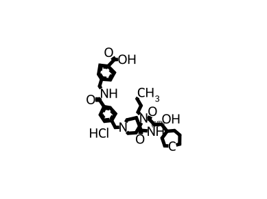 CCCCN1C(=O)[C@@H]([C@H](O)C2CCCCCC2)NC(=O)C12CCN(Cc1ccc(C(=O)NCc3ccc(C(=O)O)cc3)cc1)CC2.Cl